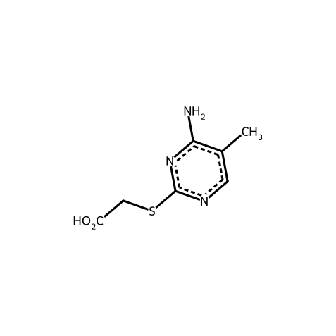 Cc1cnc(SCC(=O)O)nc1N